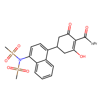 CCCC(=O)C1=C(O)CC(c2ccc(N(S(C)(=O)=O)S(C)(=O)=O)c3ccccc23)CC1=O